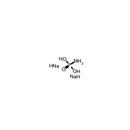 NP(=O)(O)O.[NaH].[NaH]